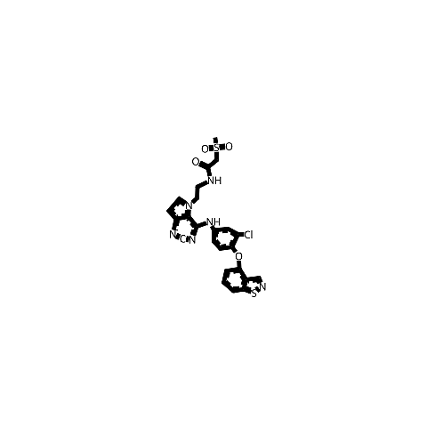 CS(=O)(=O)CC(=O)NCCn1ccc2ncnc(Nc3ccc(Oc4cccc5sncc45)c(Cl)c3)c21